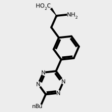 CCCCc1nnc(-c2cccc(C[C@H](N)C(=O)O)c2)nn1